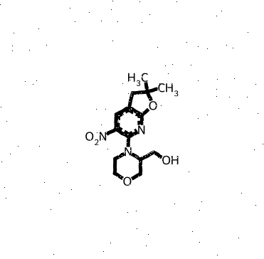 CC1(C)Cc2cc([N+](=O)[O-])c(N3CCOCC3CO)nc2O1